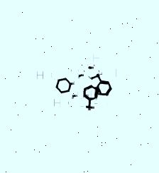 CC(C)[C@@H]1CC[C@@H](C)CC1OC(=O)N1C(=S)N[C@](C)(c2ccc(Cl)cc2)[C@@H]1c1ccc(C(F)(F)F)cc1